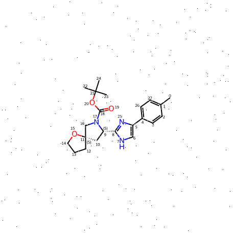 Cc1ccc(-c2c[nH]c([C@@H]3C[C@@]4(CCCO4)CN3C(=O)OC(C)(C)C)n2)cc1